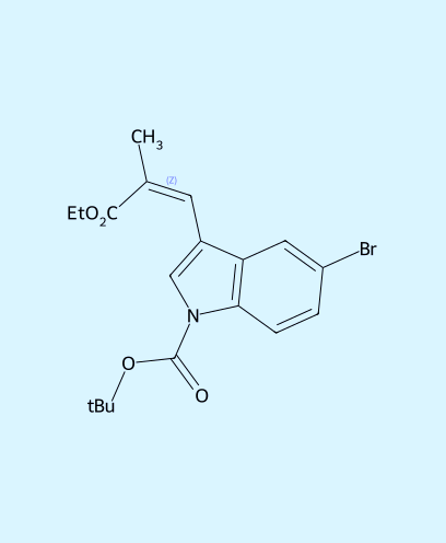 CCOC(=O)/C(C)=C\c1cn(C(=O)OC(C)(C)C)c2ccc(Br)cc12